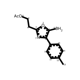 Bc1oc(CCOC(C)=O)nc1-c1ccc(C)cc1